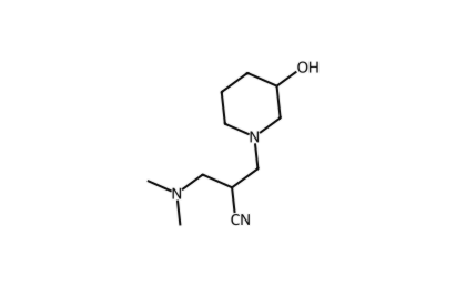 CN(C)CC(C#N)CN1CCCC(O)C1